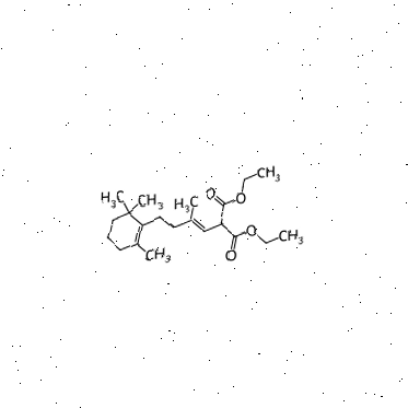 CCOC(=O)C(/C=C(\C)CCC1=C(C)CCCC1(C)C)C(=O)OCC